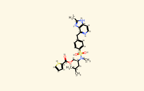 Cc1nc2c(Cc3ccc(S(=O)(=O)N(C)[C@H](COC(=O)c4cccs4)CC(C)C)cc3)nccc2[nH]1